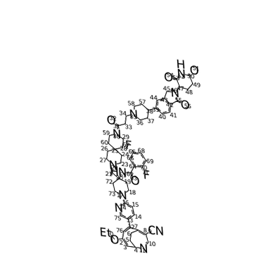 CCOC1=C/C2CCC(=C(C#N)C=N2)/C(c2ccc(N3CCC(CN4CCC5(CC4)CCN(C(=O)CCN4CCC(c6ccc7c(c6)CN(C6CCC(=O)NC6=O)C7=O)CC4)CC5)(NC(=O)c4cc(F)ccc4F)CC3)nc2)=C\1